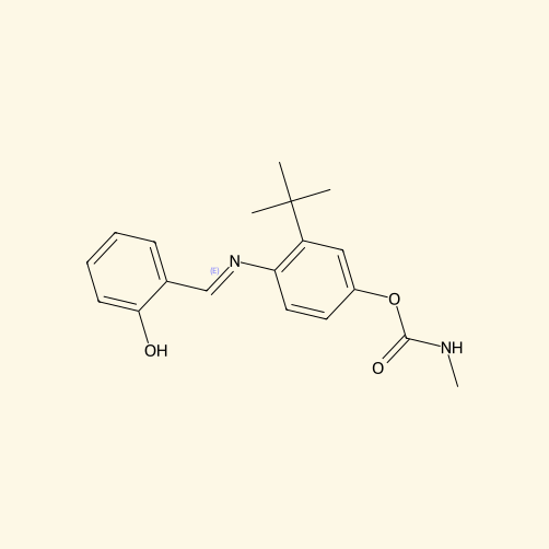 CNC(=O)Oc1ccc(/N=C/c2ccccc2O)c(C(C)(C)C)c1